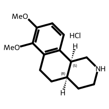 COc1ccc2c(c1OC)CC[C@@H]1CCNC[C@H]21.Cl